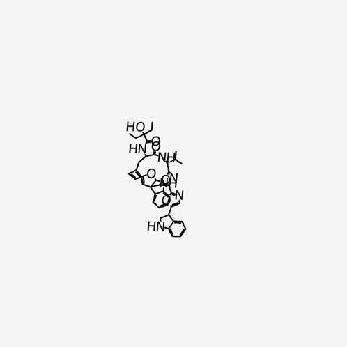 CCC(O)(CC)C(=O)N[C@H]1Cc2ccc3c(c2)C2(c4ccccc4NC2O3)c2oc(nc2-c2ncc(C3CNc4ccccc43)o2)[C@H](C(C)C)NC1=O